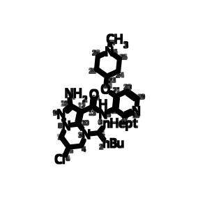 CCCCCCCC(CCCC)N1CC(Cl)Cn2nc(N)c(C(=O)Nc3cnccc3OC3CCN(C)CC3)c21